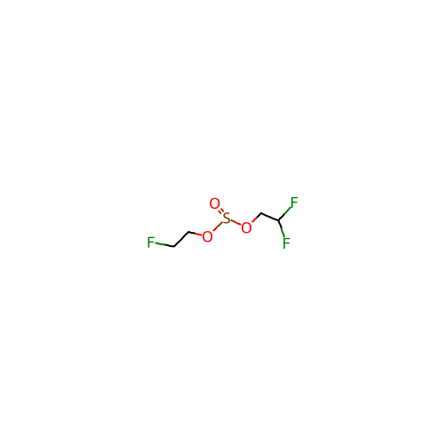 O=S(OCCF)OCC(F)F